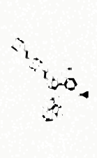 O=C(Nc1cn(CC(=O)N2CCN(CCN3CCOCC3)CC2)nc1-c1cc(SC2CC2)ccc1OC(F)F)c1cnn2cccnc12